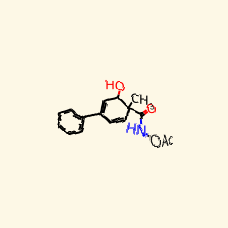 CC(=O)ONC(=O)C1(C)C=CC(c2ccccc2)=CC1O